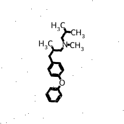 CC(C)CN(C)CC(C)Cc1ccc(Oc2ccccc2)cc1